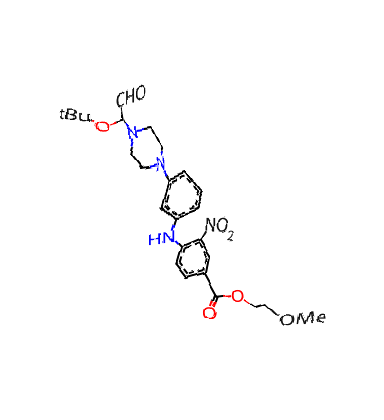 COCCOC(=O)c1ccc(Nc2cccc(N3CCN(C(C=O)OC(C)(C)C)CC3)c2)c([N+](=O)[O-])c1